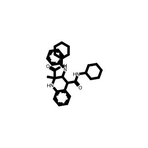 CC1(C(=O)NC2CCCCC2)Nc2ccccc2C(C(=O)NC2CCCCC2)C1Nc1ccccc1